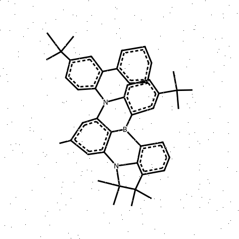 Cc1cc2c3c(c1)N1c4c(cccc4C(C)(C)C1(C)C)B3c1cc(C(C)(C)C)ccc1N2c1ccc(C(C)(C)C)cc1-c1ccccc1